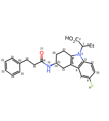 CCC(C(=O)O)n1c2c(c3cc(F)ccc31)C[C@@H](NC(=O)CCc1ccccc1)CC2